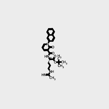 CC(=N)NCCC[C@H](NC(=O)c1cccn(-c2ccc3ccccc3c2)c1=O)C(=O)OC(C)(C)C